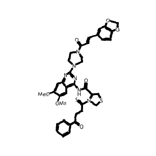 COc1cc2nc(N3CCN(C(=O)C=Cc4ccc5c(c4)OCO5)CC3)nc(NC(=O)C3CSCN3C(=S)CCC(=O)c3ccccc3)c2cc1OC